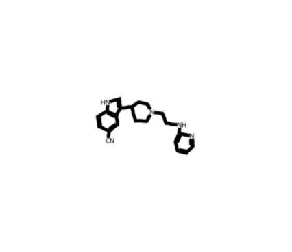 N#Cc1ccc2[nH]cc(C3CCN(CCNc4ccccn4)CC3)c2c1